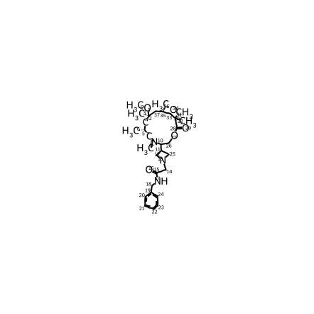 CO[C@]1(C)C[C@@H](C)CN(C)C(C2CN(CC(=O)NCc3ccccc3)C2)COC(=O)C(C)(C)C(=O)[C@H](C)C1